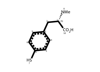 CN[C@@H](Cc1ccc(S)cc1)C(=O)O